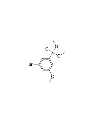 COc1cc(Br)cc([Si](OC)(OC)OC)c1